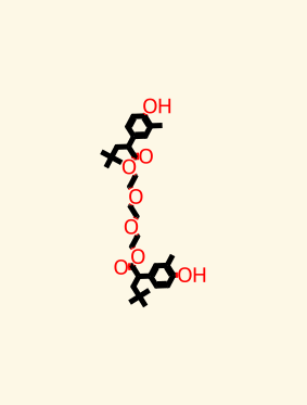 Cc1cc(C(CC(C)(C)C)C(=O)OCCOCCOCCOC(=O)C(CC(C)(C)C)c2ccc(O)c(C)c2)ccc1O